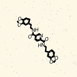 O=C(NCCc1ccc2c(c1)OCO2)c1ccc(C(=O)NCCc2ccc3c(c2)OCO3)nc1